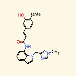 COc1ccc(/C=C/C(=O)Nc2cccc3ccn(Cc4cn(C)cn4)c23)cc1O